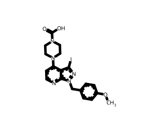 COc1ccc(Cn2nc(I)c3c(N4CCN(C(=O)O)CC4)ccnc32)cc1